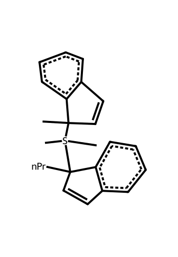 CCCC1(S(C)(C)C2(C)C=Cc3ccccc32)C=Cc2ccccc21